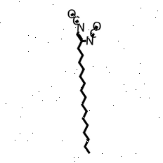 CCCCCCCCCCCCCCCCC(=CN=C=O)N=C=O